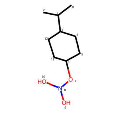 CC(C)C1CCC(ON(O)O)CC1